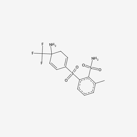 Cc1cccc(S(=O)(=O)C2=CCC(N)(C(F)(F)F)C=C2)c1S(N)(=O)=O